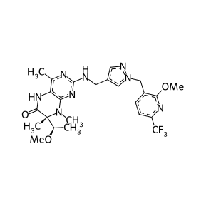 COc1nc(C(F)(F)F)ccc1Cn1cc(CNc2nc(C)c3c(n2)N(C)[C@](C)([C@@H](C)OC)C(=O)N3)cn1